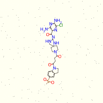 CS(=O)(=O)c1ccc2c(c1)CCN2C(=O)CCC(=O)N1CCC2(CC1)CN/C(=N\C(=O)c1nc(Cl)c(N)nc1N)N2